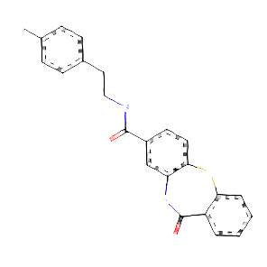 CCc1ccc(CCNC(=O)c2ccc3c(c2)NC(=O)c2ccccc2S3)cc1